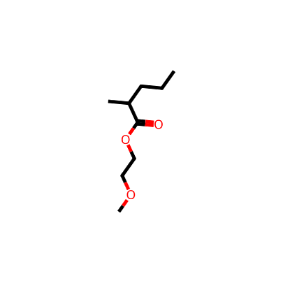 CCCC(C)C(=O)OCCOC